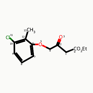 CCOC(=O)CC(=O)COc1cccc(Cl)c1C